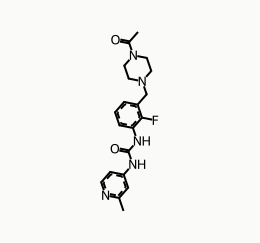 CC(=O)N1CCN(Cc2cccc(NC(=O)Nc3ccnc(C)c3)c2F)CC1